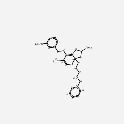 COc1cccc(CCC2=C3CC(OC)CC3(CCCOCc3ccccc3)CC=C2C)c1